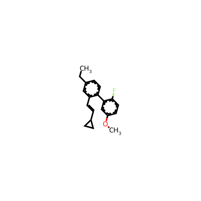 CCc1ccc(-c2cc(OC)ccc2F)c(/C=C/C2CC2)c1